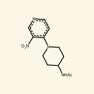 CC(=O)NC1CCN(c2ccncc2[N+](=O)[O-])CC1